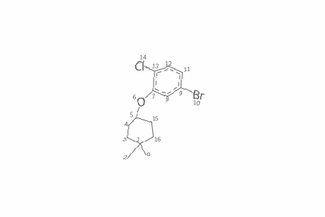 CC1(C)CCC(Oc2cc(Br)ccc2Cl)CC1